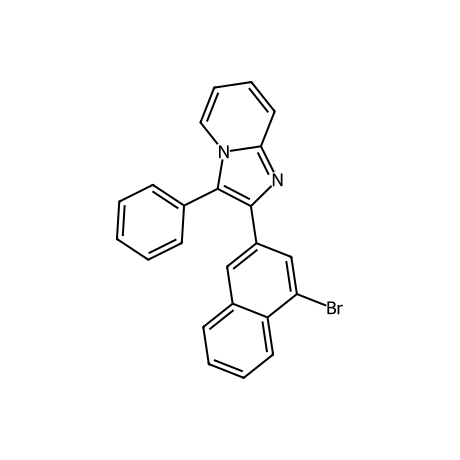 Brc1cc(-c2nc3ccccn3c2-c2ccccc2)cc2ccccc12